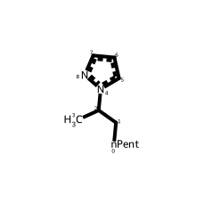 CCCCCCC(C)n1cccn1